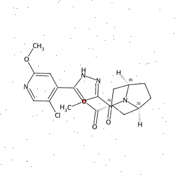 COC(=O)[C@@H]1C[C@H]2CC[C@@H](C1)N2C(=O)c1cc(-c2cc(OC)ncc2Cl)[nH]n1